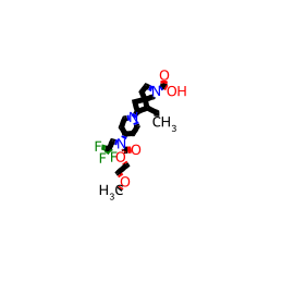 CCC1C(N2CCC(N(CC(F)(F)F)C(=O)OCCOC)CC2)CC12CCN(C(=O)O)C2